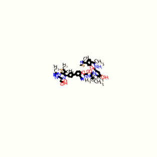 Cc1ncsc1-c1ccc(C(C)NC(=O)[C@@H]2C[C@@H](O)CN2C(=O)C(NC(=O)COc2ccc(-c3ccc(C4=N[C@@H](CC(=O)O)c5nnc(C)n5-c5sc(C)c(C)c54)cc3)cc2C#N)C(C)(C)C)cc1